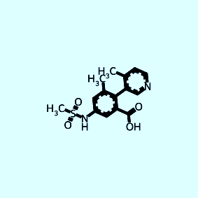 Cc1ccncc1-c1c(C)cc(NS(C)(=O)=O)cc1C(=O)O